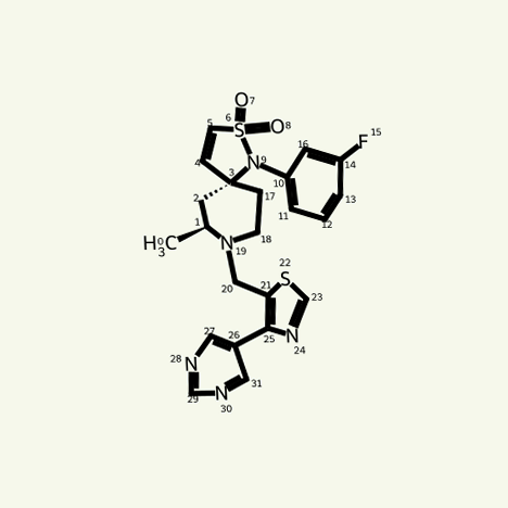 C[C@H]1C[C@@]2(C=CS(=O)(=O)N2c2cccc(F)c2)CCN1Cc1scnc1-c1cncnc1